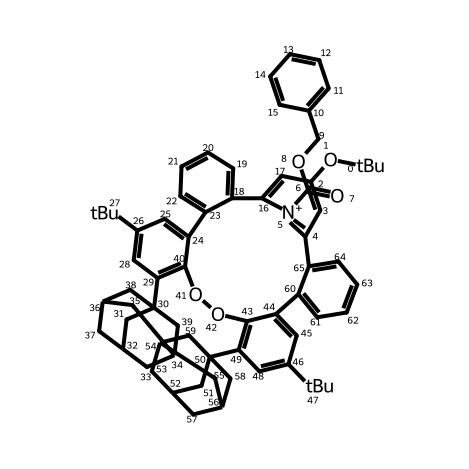 CC(C)(C)Oc1cc2[n+](C(=O)OCc3ccccc3)c(c1)-c1ccccc1-c1cc(C(C)(C)C)cc(C34CC5CC(CC(C5)C3)C4)c1OOc1c(cc(C(C)(C)C)cc1C13CC4CC(CC(C4)C1)C3)-c1ccccc1-2